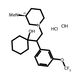 CN[C@H]1CCCN(CC(c2cccc(OC(F)(F)F)c2)C2(O)CCCCC2)C1.Cl.Cl